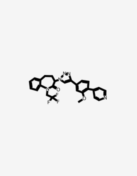 COc1cc(-c2cn(C3CCc4ccccc4N(CC(F)(F)F)C3=O)nn2)ccc1-c1ccncc1